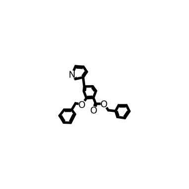 O=C(OCc1ccccc1)c1ccc(-c2cccnc2)cc1OCc1ccccc1